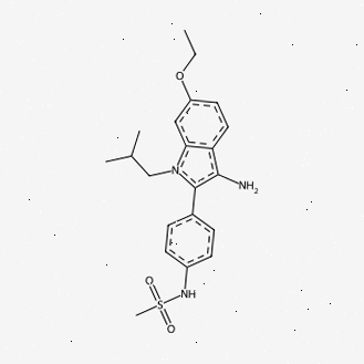 CCOc1ccc2c(N)c(-c3ccc(NS(C)(=O)=O)cc3)n(CC(C)C)c2c1